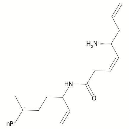 C=CC[C@@H](N)/C=C\CC(=O)NC(C=C)C/C=C(\C)CCC